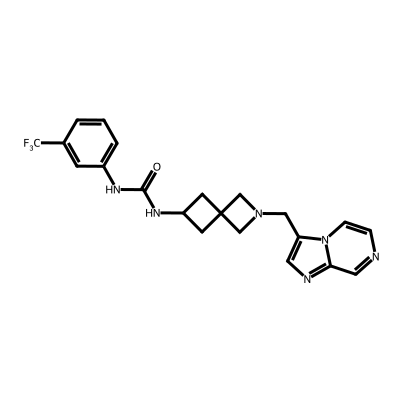 O=C(Nc1cccc(C(F)(F)F)c1)NC1CC2(C1)CN(Cc1cnc3cnccn13)C2